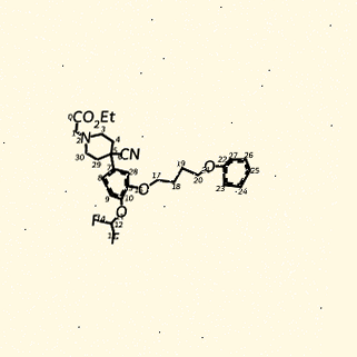 CCOC(=O)CN1CCC(C#N)(c2ccc(OC(F)F)c(OCCCCOc3ccccc3)c2)CC1